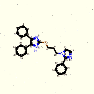 c1ccc(-c2nc(SCCCn3ccnc3-c3ccccc3)[nH]c2-c2ccccc2)cc1